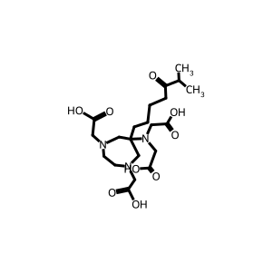 CC(C)C(=O)CCCCC1(N(CC(=O)O)CC(=O)O)CN(CC(=O)O)CCN(CC(=O)O)C1